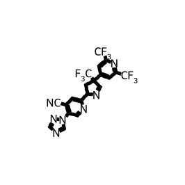 N#Cc1cc(C2CC(c3cc(C(F)(F)F)nc(C(F)(F)F)c3)(C(F)(F)F)C=N2)ncc1-n1cncn1